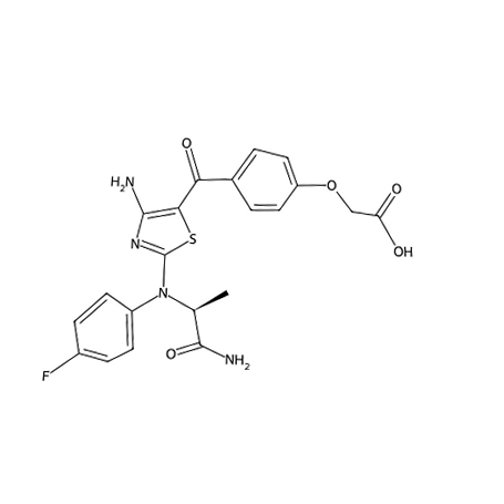 C[C@@H](C(N)=O)N(c1ccc(F)cc1)c1nc(N)c(C(=O)c2ccc(OCC(=O)O)cc2)s1